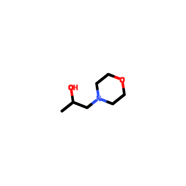 CC(O)CN1CCOCC1